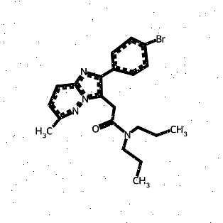 CCCN(CCC)C(=O)Cc1c(-c2ccc(Br)cc2)nc2ccc(C)nn12